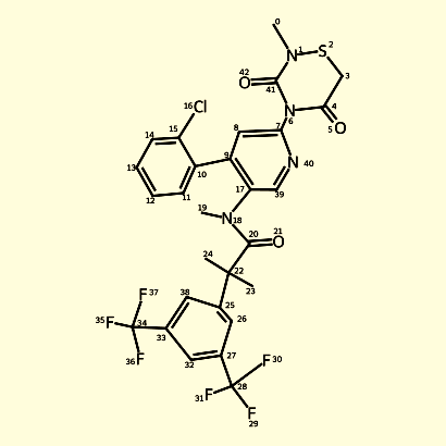 CN1SCC(=O)N(c2cc(-c3ccccc3Cl)c(N(C)C(=O)C(C)(C)c3cc(C(F)(F)F)cc(C(F)(F)F)c3)cn2)C1=O